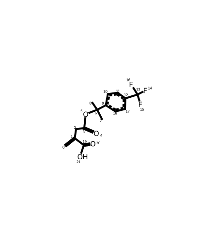 C=C(CC(=O)OC(C)(C)c1ccc(C(F)(F)F)cc1)C(=O)O